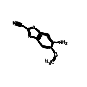 COc1cc2nc(C#N)sc2cc1N